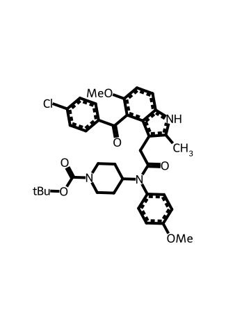 COc1ccc(N(C(=O)Cc2c(C)[nH]c3ccc(OC)c(C(=O)c4ccc(Cl)cc4)c23)C2CCN(C(=O)OC(C)(C)C)CC2)cc1